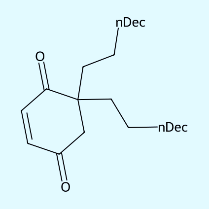 CCCCCCCCCCCCC1(CCCCCCCCCCCC)CC(=O)C=CC1=O